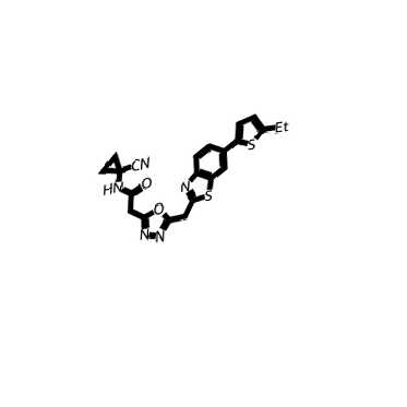 CCc1ccc(-c2ccc3nc(Cc4nnc(CC(=O)NC5(C#N)CC5)o4)sc3c2)s1